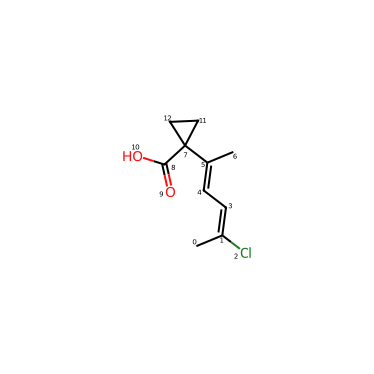 C/C(Cl)=C\C=C(/C)C1(C(=O)O)CC1